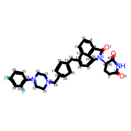 O=C1CC[C@@H](N2C(=O)c3cccc4c(Cc5ccc(CN6CCN(c7ccc(F)cc7F)CC6)cc5)ccc2c34)C(=O)N1